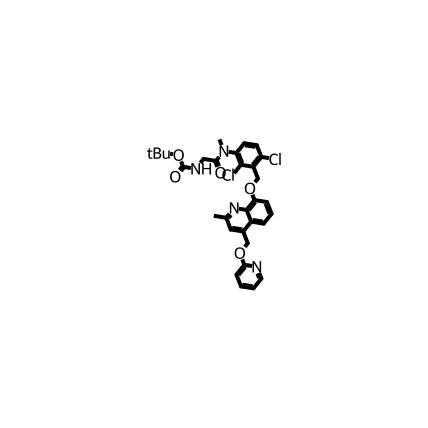 Cc1cc(COc2ccccn2)c2cccc(OCc3c(Cl)ccc(N(C)C(=O)CNC(=O)OC(C)(C)C)c3Cl)c2n1